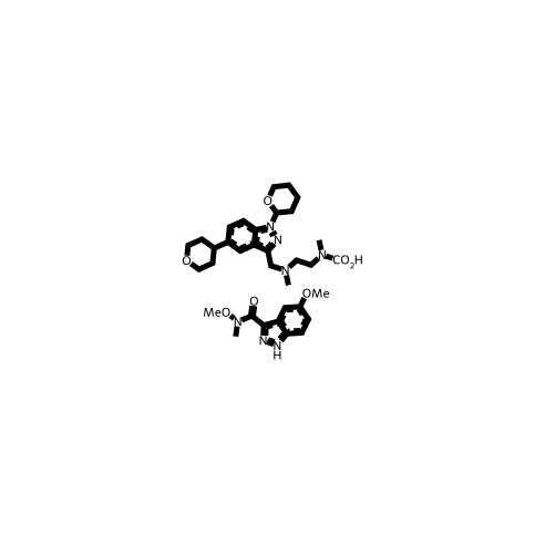 CN(CCN(C)C(=O)O)Cc1nn(C2CCCCO2)c2ccc(C3CCOCC3)cc12.COc1ccc2[nH]nc(C(=O)N(C)OC)c2c1